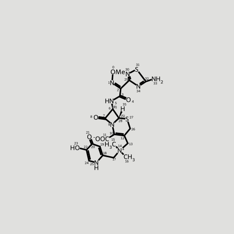 CON=C(C(=O)N[C@@H]1C(=O)N2C(C(=O)[O-])=C(C[N+](C)(C)Cc3cc(=O)c(O)c[nH]3)CS[C@@H]12)c1nsc(N)n1